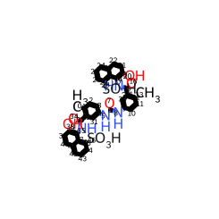 Cc1ccc(NC(=O)Nc2ccc(C)c(C(=O)Nc3c(O)ccc4cccc(S(=O)(=O)O)c34)c2)cc1C(=O)Nc1c(O)ccc2cccc(S(=O)(=O)O)c12